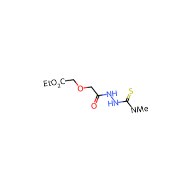 CCOC(=O)COCC(=O)NNC(=S)NC